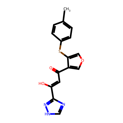 Cc1ccc(Sc2cocc2C(=O)C=C(O)c2nc[nH]n2)cc1